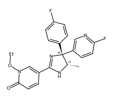 CCOn1cc(C2=N[C@](c3ccc(F)cc3)(c3ccc(F)nc3)[C@H](C)N2)ccc1=O